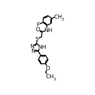 CCOc1ccc(-c2nnc(SCC(=O)Nc3cc(C)ccc3F)[nH]2)cc1